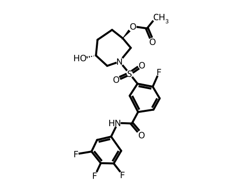 CC(=O)O[C@@H]1CC[C@@H](O)CN(S(=O)(=O)c2cc(C(=O)Nc3cc(F)c(F)c(F)c3)ccc2F)C1